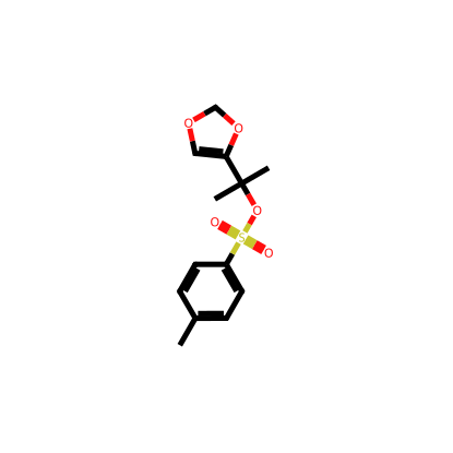 Cc1ccc(S(=O)(=O)OC(C)(C)C2=COCO2)cc1